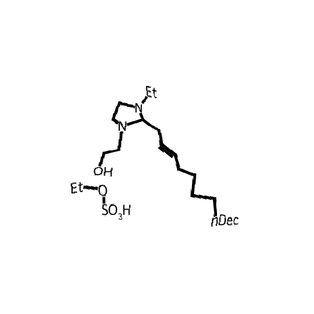 CCCCCCCCCCCCCCC=CCC1N(CC)CCN1CCO.CCOS(=O)(=O)O